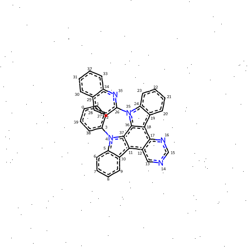 c1ccc(-n2c3ccccc3c3c4cncnc4c4c5ccccc5n(-c5ccc6ccccc6n5)c4c32)cc1